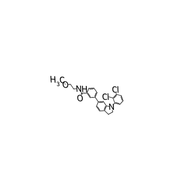 COCCNC(=O)c1cccc(-c2ccc3c(c2)N(c2cccc(Cl)c2Cl)CC3)c1